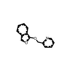 [c]1oc(OCc2ccccn2)c2ccccc12